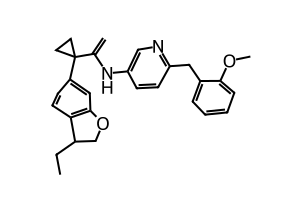 C=C(Nc1ccc(Cc2ccccc2OC)nc1)C1(c2ccc3c(c2)OCC3CC)CC1